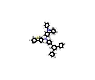 c1ccc(-c2cc(-c3ccccc3)cc(-c3ccc(N(c4ccc5c(c4)sc4ccccc45)c4ccc5c(c4)c4ccccc4n5-c4ccccc4)cc3)c2)cc1